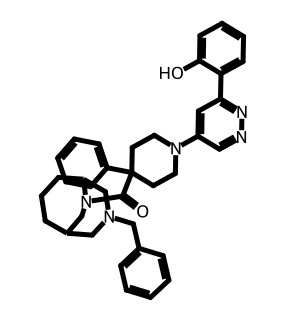 O=C(N1CC2CCCC1CN(Cc1ccccc1)C2)C1(c2ccccc2)CCN(c2cnnc(-c3ccccc3O)c2)CC1